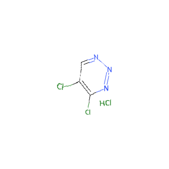 Cl.Clc1cnnnc1Cl